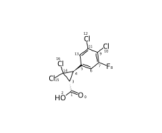 O=C(O)[C@H]1[C@H](c2cc(F)c(Cl)c(Cl)c2)C1(Cl)Cl